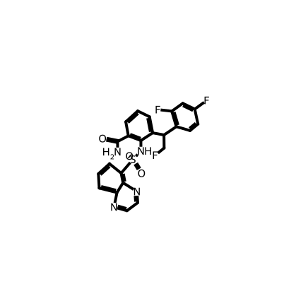 NC(=O)c1cccc(C(CF)c2ccc(F)cc2F)c1NS(=O)(=O)c1cccc2nccnc12